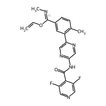 C=CO/C(=N\C)c1ccc(C)c(-c2cnc(NC(=O)c3c(F)cncc3F)cn2)c1